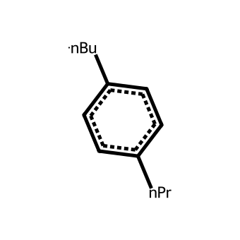 CCC[CH]c1ccc(CCC)cc1